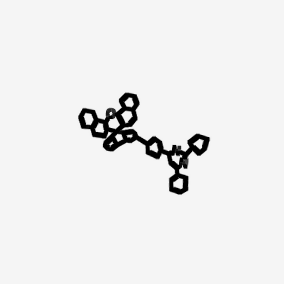 C1=CC2C=CC3=C(Oc4c(ccc5c4CCC=C5)C34c3ccccc3-c3cc(-c5ccc(-c6cc(-c7ccccc7)nc(-c7ccccc7)n6)cc5)ccc34)C2C=C1